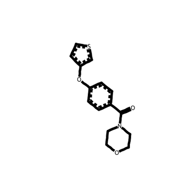 O=C(c1ccc(Oc2ccsc2)cc1)N1CCOCC1